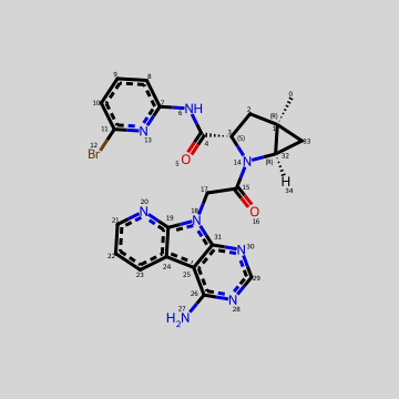 C[C@@]12C[C@@H](C(=O)Nc3cccc(Br)n3)N(C(=O)Cn3c4ncccc4c4c(N)ncnc43)[C@@H]1C2